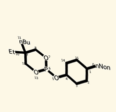 CCCCCCCCCC1CCC(OP2OCC(CC)(CCCC)CO2)CC1